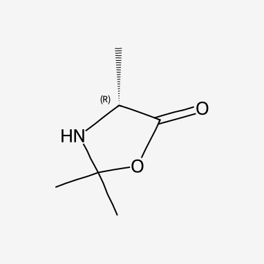 C[C@H]1NC(C)(C)OC1=O